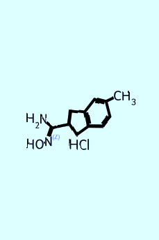 Cc1ccc2c(c1)CC(/C(N)=N/O)C2.Cl